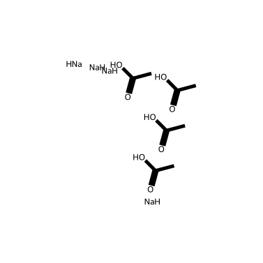 CC(=O)O.CC(=O)O.CC(=O)O.CC(=O)O.[NaH].[NaH].[NaH].[NaH]